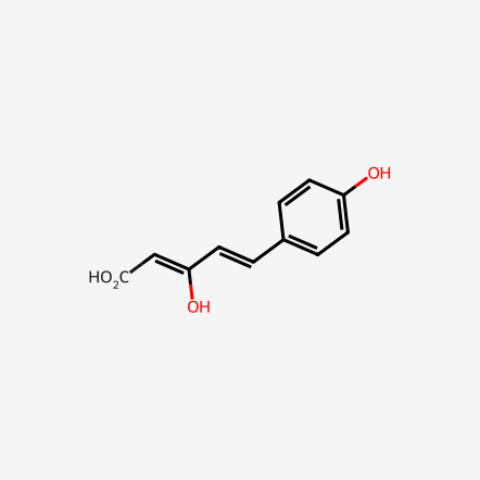 O=C(O)/C=C(O)/C=C/c1ccc(O)cc1